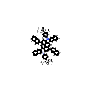 C[Si](C)(C)c1ccc(N(c2ccc3ccccc3c2)c2cc(-c3ccc4ccccc4c3)c3ccc4c(N(c5ccc([Si](C)(C)C)cc5)c5ccc6ccccc6c5)cc(-c5ccc6ccccc6c5)c5ccc2c3c54)cc1